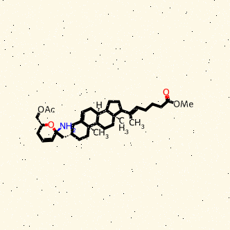 COC(=O)CCC/C=C(\C)C1CCC2[C@@H]3CC=C4C[C@@H](C[C@]5(N)C=CC[C@@H](COC(C)=O)O5)CC[C@]4(C)C3CC[C@]12C